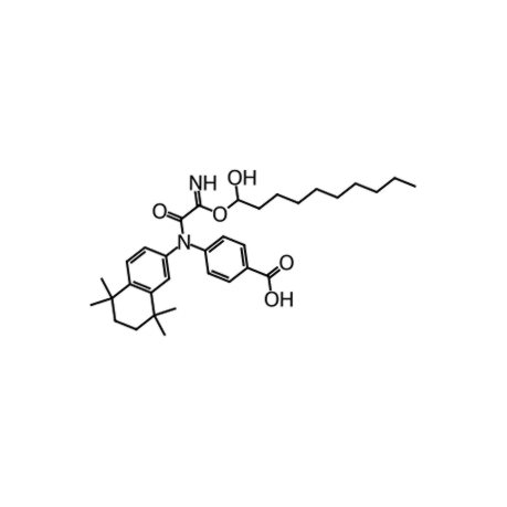 CCCCCCCCCC(O)OC(=N)C(=O)N(c1ccc(C(=O)O)cc1)c1ccc2c(c1)C(C)(C)CCC2(C)C